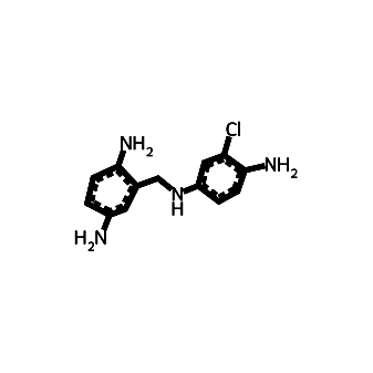 Nc1ccc(N)c(CNc2ccc(N)c(Cl)c2)c1